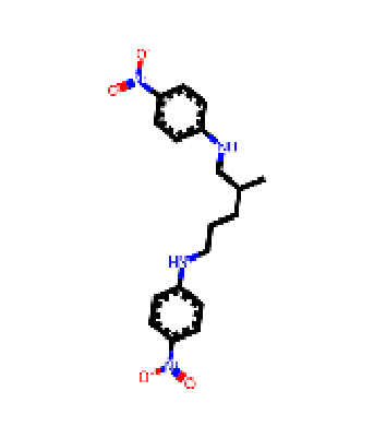 CC(CCCNc1ccc([N+](=O)[O-])cc1)CNc1ccc([N+](=O)[O-])cc1